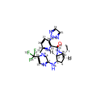 CC[C@@H]1[C@H]2C[C@@H](Nc3cnc(C(F)(F)F)cn3)[C@H](C2)N1C(=O)c1nc(C)ccc1-n1nccn1